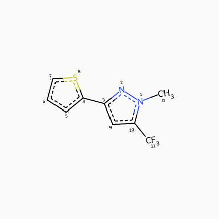 Cn1nc(-c2[c]c[c]s2)cc1C(F)(F)F